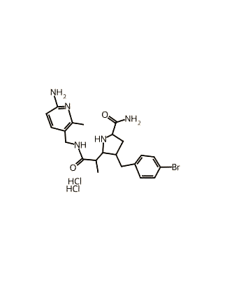 Cc1nc(N)ccc1CNC(=O)C(C)C1NC(C(N)=O)CC1Cc1ccc(Br)cc1.Cl.Cl